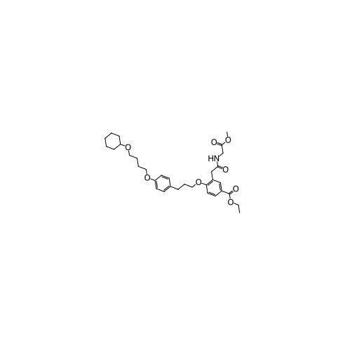 CCOC(=O)c1ccc(OCCCc2ccc(OCCCCOC3CCCCC3)cc2)c(CC(=O)NCC(=O)OC)c1